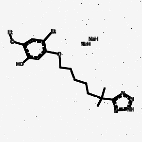 CCOc1cc(CC)c(OCCCCCC(C)(C)c2nn[nH]n2)cc1O.[NaH].[NaH]